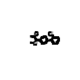 COC(C(C)=O)c1ccc(-c2ccccc2Cl)cc1